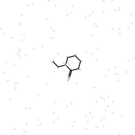 CCN1CCC[CH]C1=O